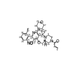 C=CC(=O)N1CCN2[C@@H](COc3c(Cl)c(-c4c(F)cccc4N=O)nc(N4CCOCC4)c3C23CC3)C1